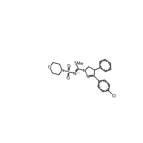 CS/C(=N\S(=O)(=O)N1CCOCC1)N1CC(c2ccccc2)C(c2ccc(Cl)cc2)=N1